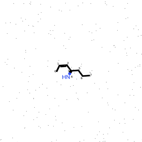 C/C=C\C(=N)CCC